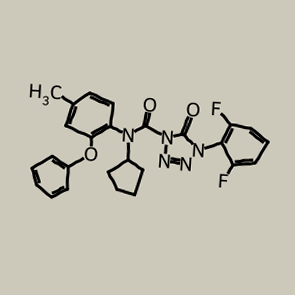 Cc1ccc(N(C(=O)n2nnn(-c3c(F)cccc3F)c2=O)C2CCCC2)c(Oc2ccccc2)c1